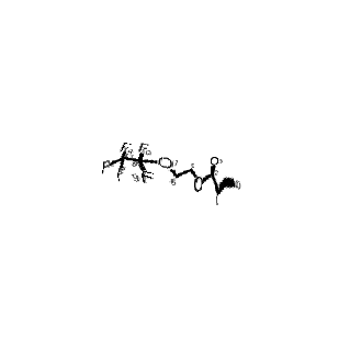 C=CC(=O)OCCOC(F)(F)C(F)(F)F